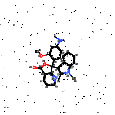 CCOc1cc(N(C)C)ccc1C1(c2c(C)n(CC)c3ccccc23)OC(=O)c2cccnc21